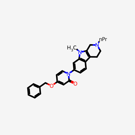 CCCN1CCc2c(n(C)c3cc(-n4ccc(OCc5ccccc5)cc4=O)ccc23)C1